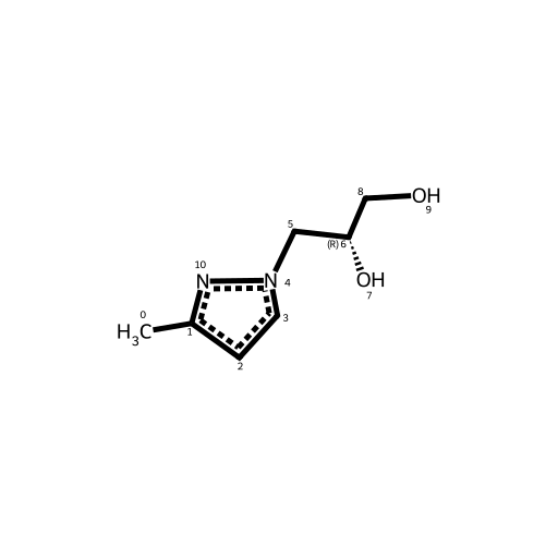 Cc1ccn(C[C@@H](O)CO)n1